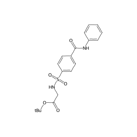 CC(C)(C)OC(=O)CNS(=O)(=O)c1ccc(C(=O)Nc2ccccc2)cc1